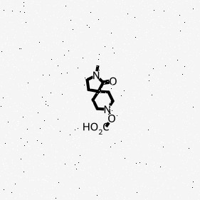 CN1CCC2(CCN(OC(=O)O)CC2)C1=O